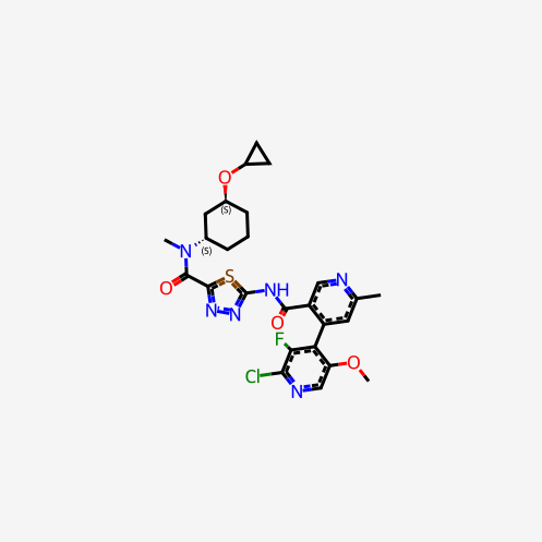 COc1cnc(Cl)c(F)c1-c1cc(C)ncc1C(=O)Nc1nnc(C(=O)N(C)[C@H]2CCC[C@H](OC3CC3)C2)s1